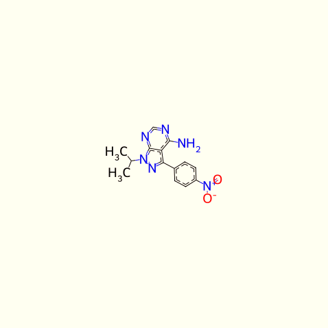 CC(C)n1nc(-c2ccc([N+](=O)[O-])cc2)c2c(N)ncnc21